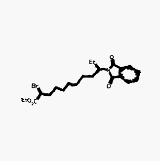 CCOC(=O)C(Br)CCCCCCCC(CC)N1C(=O)c2ccccc2C1=O